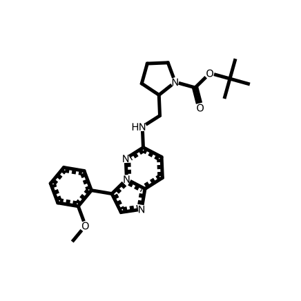 COc1ccccc1-c1cnc2ccc(NCC3CCCN3C(=O)OC(C)(C)C)nn12